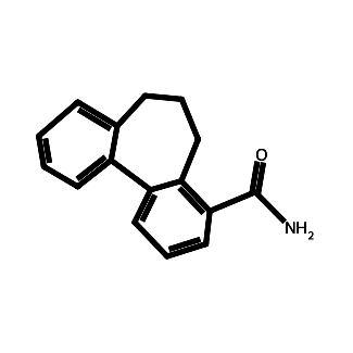 NC(=O)c1cccc2c1CCCc1ccccc1-2